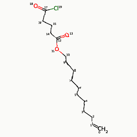 C=CCCCCCCCCCOC(=O)CCCC(=O)Cl